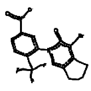 O=c1c(Br)c2c(cn1-c1cc([N+](=O)[O-])ccc1C(F)(F)F)CCC2